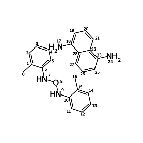 Cc1ccccc1NONc1ccccc1C.Nc1cccc2c(N)cccc12